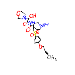 CC#CCOc1ccc(S(=O)(=O)CC2(C(=O)NC(=O)C(O)N3CCOCC3)CCNCC2)cc1